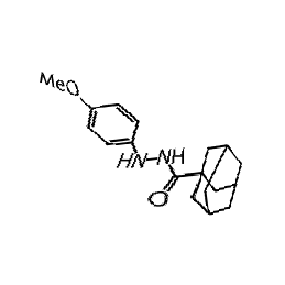 COc1ccc(NNC(=O)C23CC4CC(CC(C4)C2)C3)cc1